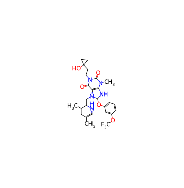 CC1=CNC(CN2c3c(n(C)c(=O)n(CCC4(O)CC4)c3=O)NC2Oc2cccc(OC(F)(F)F)c2)C(C)C1